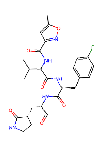 Cc1cc(C(=O)NC(C(=O)N[C@@H](Cc2ccc(F)cc2)C(=O)N[C@H](C=O)C[C@@H]2CCNC2=O)C(C)C)no1